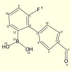 O=Cc1ccc(-c2c(F)cccc2B(O)O)cc1